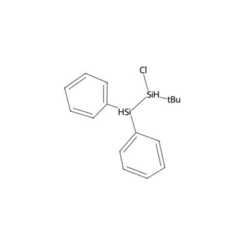 CC(C)(C)[SiH](Cl)[SiH](c1ccccc1)c1ccccc1